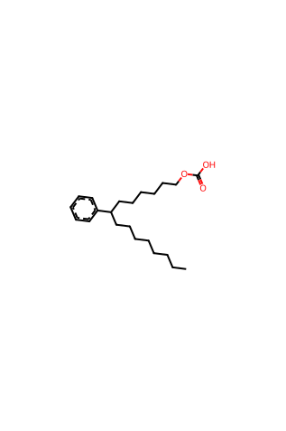 CCCCCCCCC(CCCCCCOC(=O)O)c1ccccc1